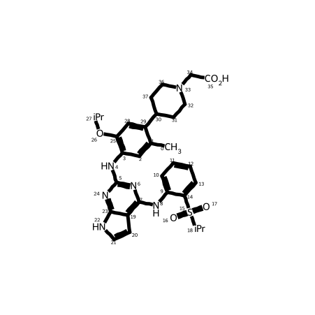 Cc1cc(Nc2nc(Nc3ccccc3S(=O)(=O)C(C)C)c3cc[nH]c3n2)c(OC(C)C)cc1C1CCN(CC(=O)O)CC1